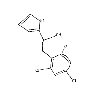 CC(Cc1c(Cl)cc(Cl)cc1Cl)c1ccc[nH]1